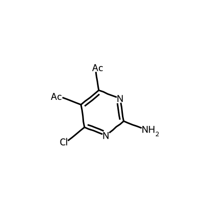 CC(=O)c1nc(N)nc(Cl)c1C(C)=O